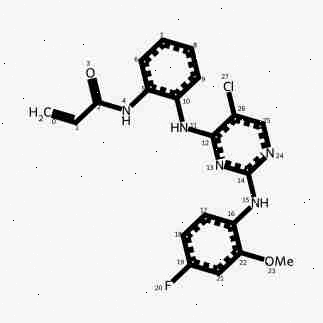 C=CC(=O)Nc1ccccc1Nc1nc(Nc2ccc(F)cc2OC)ncc1Cl